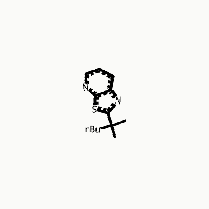 CCCCC(C)(C)c1nc2cccnc2s1